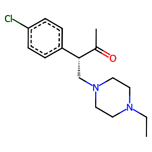 CCN1CCN(C[C@@H](C(C)=O)c2ccc(Cl)cc2)CC1